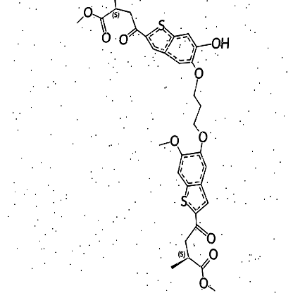 COC(=O)[C@@H](C)CC(=O)c1cc2cc(OCCCOc3cc4cc(C(=O)C[C@H](C)C(=O)OC)sc4cc3OC)c(O)cc2s1